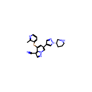 Cc1ncccc1Sc1cc(-c2cnn([C@H]3CCCNC3)c2)cn2ncc(C#N)c12